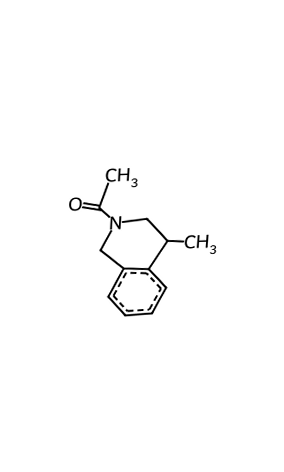 CC(=O)N1Cc2ccccc2C(C)C1